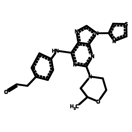 CC1CN(c2nc(Nc3ccc(CC=O)cc3)c3ncn(-c4cscn4)c3n2)CCO1